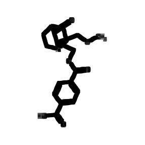 COCC1(COC(=O)c2ccc(C(=O)O)cc2)C(=O)C2CCN1CC2